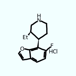 CC[C@H]1CNCC[C@H]1c1c(F)ccc2ccoc12.Cl